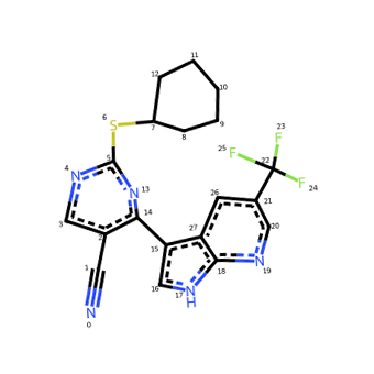 N#Cc1cnc(SC2CCCCC2)nc1-c1c[nH]c2ncc(C(F)(F)F)cc12